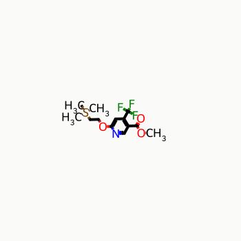 COC(=O)c1cnc(OCCS(C)(C)C)cc1C(F)(F)F